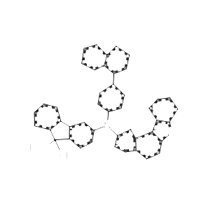 CC1(C)c2ccccc2-c2cc(N(c3ccc(-c4cccc5ccccc45)cc3)c3ccc4ccc5sc6ccccc6c5c4c3)ccc21